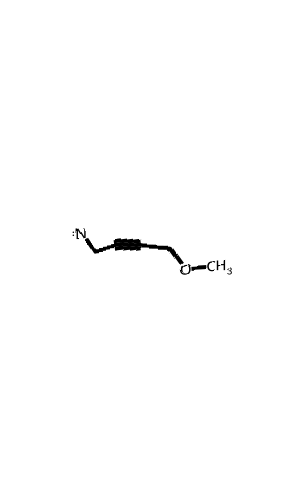 COCC#CC[N]